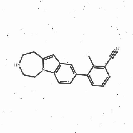 Cc1c(C#N)cccc1-c1ccc2c(c1)cc1n2CCNCC1